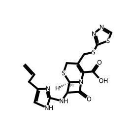 C=CCc1c[nH]c(NC2C(=O)N3C(C(=O)O)=C(CSc4nncs4)CS[C@H]23)n1